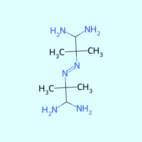 CC(C)(N=NC(C)(C)C(N)N)C(N)N